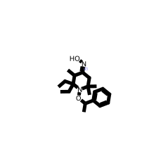 CCC1(CC)C(C)/C(=N\O)CC(C)(C)N1OC(C)c1ccccc1